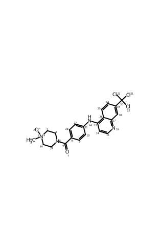 C[N+]1([O-])CCN(C(=O)c2ccc(Nc3ccnc4cc(C(Cl)(Cl)Cl)ccc34)cc2)CC1